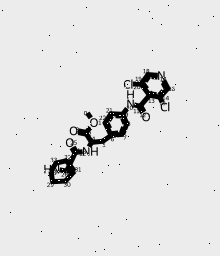 COC(=O)C(Cc1ccc(NC(=O)c2c(Cl)cncc2Cl)cc1)NC(=O)C1NC2CCC1CC2